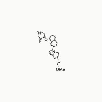 COCCOc1ccn2c(-c3ccc4cccc(O[C@H]5CCN(C)C[C@@H]5F)c4n3)cnc2c1